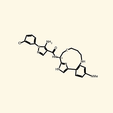 CNc1ccc2c(c1)NCCCCC[C@H](NC(=O)c1cnn(-c3cccc(Cl)c3)c1N)c1nc-2c[nH]1